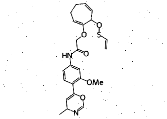 C=CSOC1C=CCCC=C1OCC(=O)Nc1ccc(C2=CC(C)N=CO2)c(OC)c1